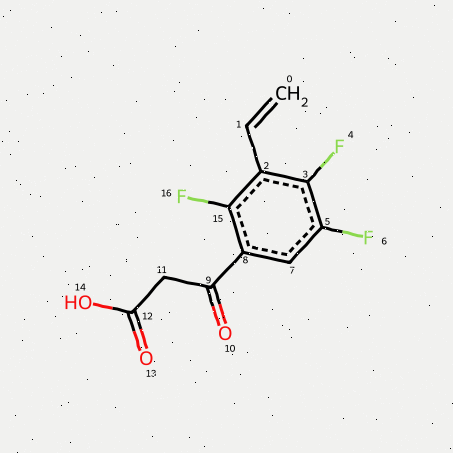 C=Cc1c(F)c(F)cc(C(=O)CC(=O)O)c1F